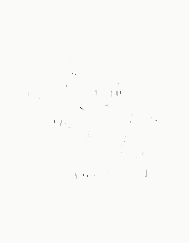 CO[C@@H]1C(CO)O[C@@H](C(C)(C)C(C)C)C(N)C1O